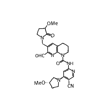 COC1CCN(Cc2cc3c(nc2C=O)N(C(=O)Nc2cc(N4CC[C@H](OC)C4)c(C#N)cn2)CCC3)C1=O